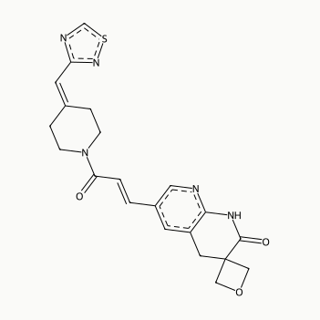 O=C(C=Cc1cnc2c(c1)CC1(COC1)C(=O)N2)N1CCC(=Cc2ncsn2)CC1